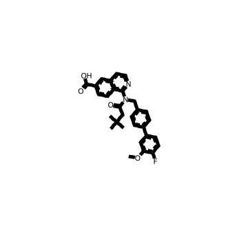 COc1cc(-c2ccc(CN(C(=O)CC(C)(C)C)c3nccc4cc(C(=O)O)ccc34)cc2)ccc1F